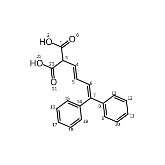 O=C(O)C(C=CC=C(c1ccccc1)c1ccccc1)C(=O)O